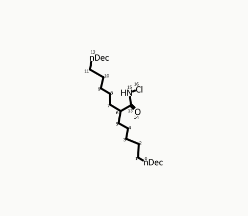 CCCCCCCCCCCCCCCC(CCCCCCCCCCCCCCC)C(=O)NCl